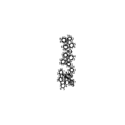 CC1(C)c2ccccc2-c2ccc3c4ccccc4n(-c4nc(-c5ccccc5)nc(-c5cccc(-c6ccc7c(c6)-c6ccccc6C76c7ccccc7-c7ccc(C(=O)c8ccc9c(c8)C8(c%10ccccc%10-c%10ccccc%108)c8ccccc8-9)cc76)c5)n4)c3c21